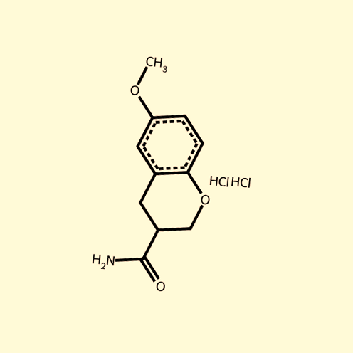 COc1ccc2c(c1)CC(C(N)=O)CO2.Cl.Cl